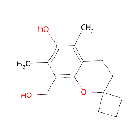 Cc1c(O)c(C)c2c(c1CO)OC1(CCC1)CC2